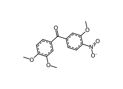 COc1ccc(C(=O)c2ccc([N+](=O)[O-])c(OC)c2)cc1OC